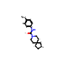 CC(C)(C)c1ccc(NC(=O)N2CCC3(CCCC3)CC2)cc1